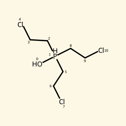 O[PH](CCCl)(CCCl)CCCl